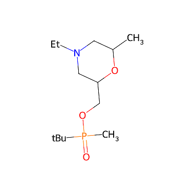 CCN1CC(C)OC(COP(C)(=O)C(C)(C)C)C1